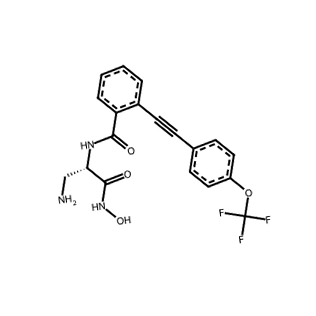 NC[C@H](NC(=O)c1ccccc1C#Cc1ccc(OC(F)(F)F)cc1)C(=O)NO